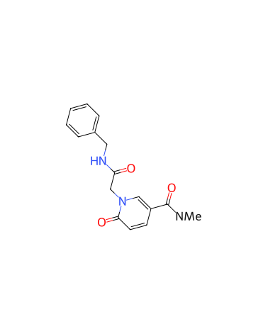 CNC(=O)c1ccc(=O)n(CC(=O)NCc2ccccc2)c1